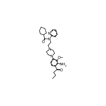 CCCC(=O)c1ccc(N2CCN(CCN(C(=O)C3CCCCC3)c3ccccn3)CC2)c(OC)c1N